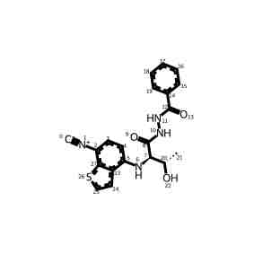 [C-]#[N+]c1ccc(N[C@@H](C(=O)NNC(=O)c2ccccc2)[C@H](C)O)c2ccsc12